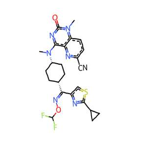 Cn1c(=O)nc(N(C)[C@H]2CC[C@@H](/C(=N/OC(F)F)c3csc(C4CC4)n3)CC2)c2nc(C#N)ccc21